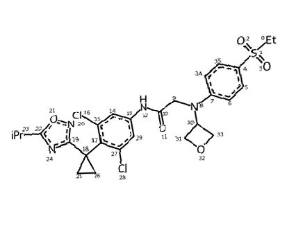 CCS(=O)(=O)c1ccc(N(CC(=O)Nc2cc(Cl)c(C3(c4noc(C(C)C)n4)CC3)c(Cl)c2)C2COC2)cc1